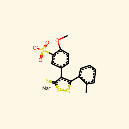 COc1ccc(-c2c(-c3ccccc3C)ssc2=S)cc1S(=O)(=O)[O-].[Na+]